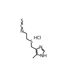 Cc1[nH]cnc1CSCCN=C=S.Cl